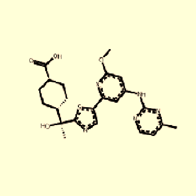 COc1cc(Nc2nccc(C)n2)cc(-c2cnc([C@@](C)(O)[C@H]3CC[C@H](C(=O)O)CC3)s2)n1